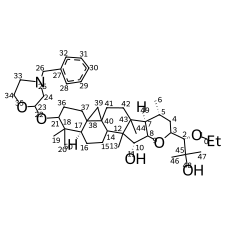 CCO[C@@H](C1C[C@@H](C)[C@H]2C(O1)[C@H](O)C1(C)C3CC[C@H]4C(C)(C)C(OC5CN(Cc6ccccc6)CCO5)CCC45CC35CCC21C)C(C)(C)O